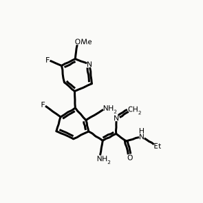 C=N/C(C(=O)NCC)=C(/N)c1ccc(F)c(-c2cnc(OC)c(F)c2)c1N